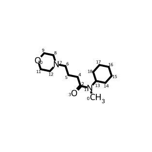 CN(C(=O)CCCN1CCOCC1)C1CCCCC1